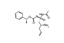 C=CC[C@H](N)C[S@](=O)(=NC(=O)O[C@@H](C)c1ccccc1)NC(C)=O